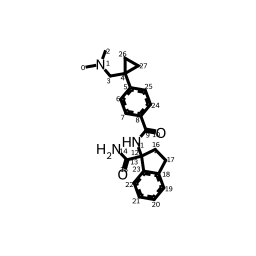 CN(C)CC1(c2ccc(C(=O)NC3(C(N)=O)[CH]Cc4ccccc43)cc2)CC1